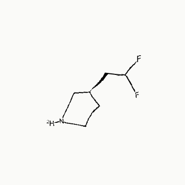 [2H]N1CC[C@H](CC(F)F)C1